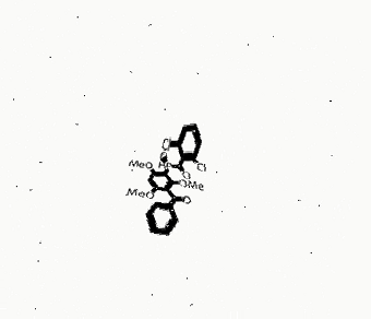 COc1cc(OC)c([PH](=O)C(=O)c2c(Cl)cccc2Cl)c(OC)c1C(=O)c1ccccc1